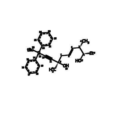 CC[C@H](O)[C@@H](C)/C=C/C[C@@](C)(O)C#C[Si](c1ccccc1)(c1ccccc1)C(C)(C)C